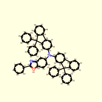 c1ccc(-c2nc3cc(N(c4ccc5c(c4)C(c4ccccc4)(c4ccccc4)c4ccccc4-5)c4ccc5c(c4)C(c4ccccc4)(c4ccccc4)c4ccccc4-5)ccc3o2)cc1